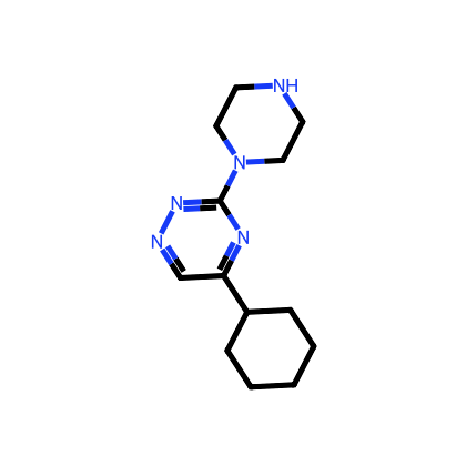 c1nnc(N2CCNCC2)nc1C1CCCCC1